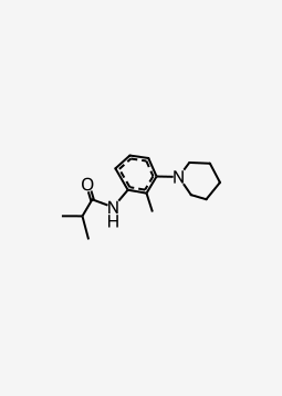 Cc1c(NC(=O)C(C)C)cccc1N1CCCCC1